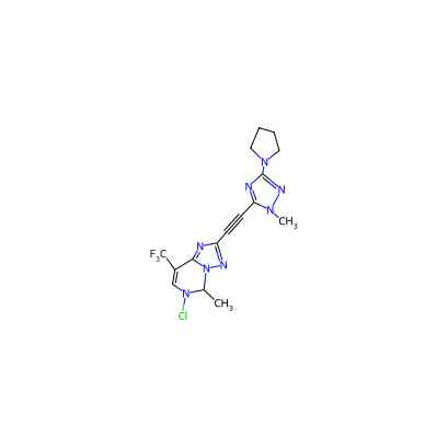 CC1N(Cl)C=C(C(F)(F)F)c2nc(C#Cc3nc(N4CCCC4)nn3C)nn21